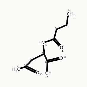 CCCC(=O)NC(CC(C)=O)C(=O)O